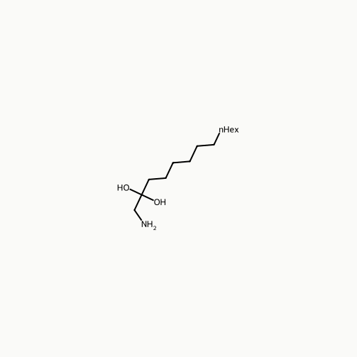 CCCCCCCCCCCCC(O)(O)CN